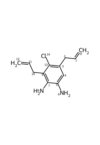 C=CCc1cc(N)c(N)c(CC=C)c1Cl